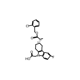 CN(C(=O)OCc1ccccc1Cl)[C@H]1CCc2c(c3cc(F)ccc3n2CC(=O)O)C1